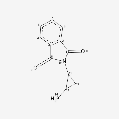 O=C1c2ccccc2C(=O)N1C1CC1P